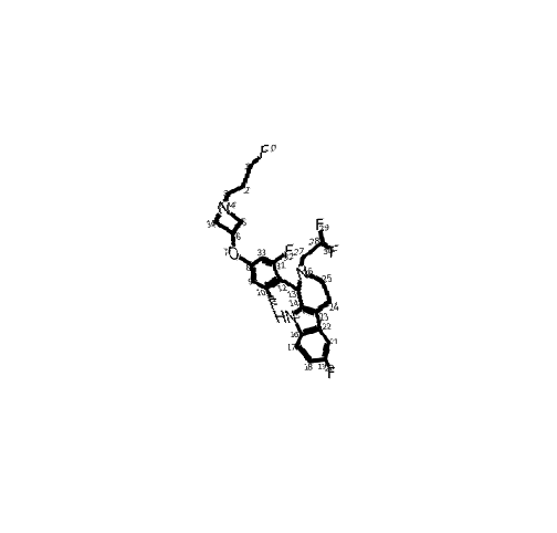 FCCCN1CC(Oc2cc(F)c(C3c4[nH]c5ccc(F)cc5c4CCN3CC(F)F)c(F)c2)C1